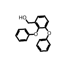 OCc1cccc(Oc2ccccc2)c1Oc1ccccc1